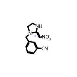 N#Cc1cccc(CN2CCN/C2=C\[N+](=O)[O-])c1